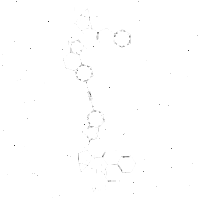 COC(=O)N[C@@H](C(=O)N1[C@@H]2CC2C[C@H]1c1nc2ccc(C#Cc3ccc4c(c3)CCc3[nH]c([C@@H]5C[C@H]6C[C@H]6N5C(=O)Cc5ccccc5)nc3-4)cc2[nH]1)C1=CCCC=C1